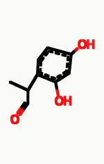 CC(C=O)c1ccc(O)cc1O